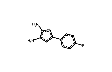 Nc1cc(-c2ccc(F)cc2)nn1N